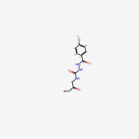 COC(=O)CNC(=O)NNC(=O)c1ccc(Cl)cc1